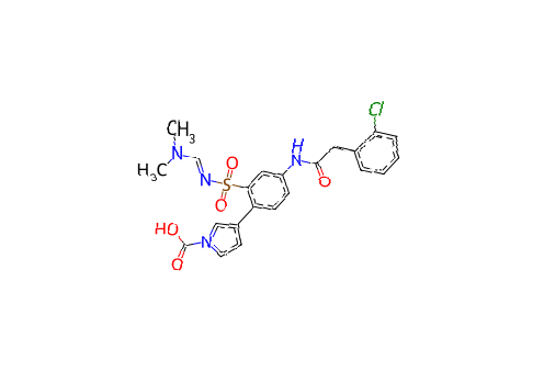 CN(C)/C=N/S(=O)(=O)c1cc(NC(=O)Cc2ccccc2Cl)ccc1-c1ccn(C(=O)O)c1